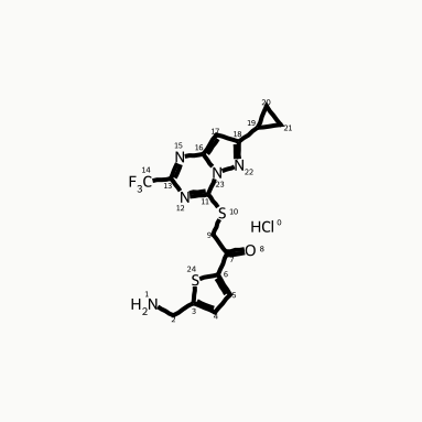 Cl.NCc1ccc(C(=O)CSc2nc(C(F)(F)F)nc3cc(C4CC4)nn23)s1